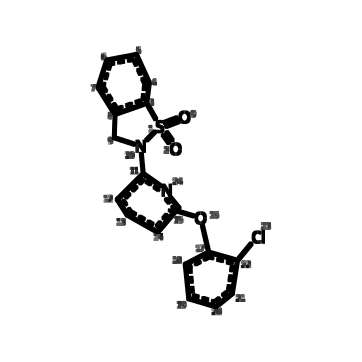 O=S1(=O)c2ccccc2CN1c1cccc(Oc2ccccc2Cl)n1